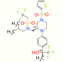 CC(C)CN(C[C@H]1CN(S(=O)(=O)c2cccs2)CCN1c1ccc([C@@](C)(O)C(F)(F)F)cc1)S(=O)(=O)CC(F)(F)F